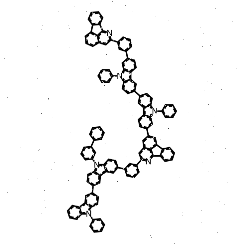 c1ccc(-c2cccc(-n3c4ccc(-c5cccc(-c6cc7cc(-c8ccc9c%10cc(-c%11ccc%12c(c%11)c%11ccc(-c%13cccc(-c%14cc%15cccc%16c%15c(n%14)-c%14ccccc%14-%16)c%13)cc%11n%12-c%11ccccc%11)ccc%10n(-c%10ccccc%10)c9c8)cc8c7c(n6)-c6ccccc6-8)c5)cc4c4cc(-c5ccc6c(c5)c5ccccc5n6-c5ccccc5)ccc43)c2)cc1